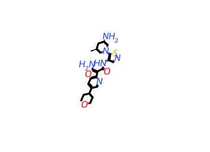 C[C@H]1C[C@@H](N)CN(c2sncc2NC(=O)c2c(N)oc3cc(C4CCOCC4)cnc23)C1